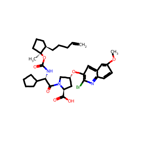 C=CCCC[C@@H]1CCC[C@]1(C)OC(=O)N[C@H](C(=O)N1C[C@H](Oc2cc3cc(OC)ccc3nc2Br)C[C@H]1C(=O)O)C1CCCC1